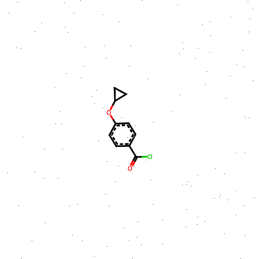 O=C(Cl)c1ccc(OC2CC2)cc1